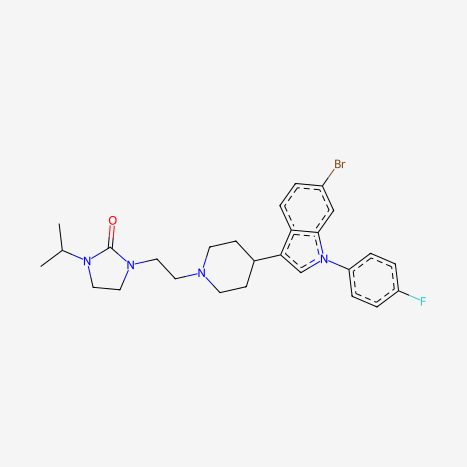 CC(C)N1CCN(CCN2CCC(c3cn(-c4ccc(F)cc4)c4cc(Br)ccc34)CC2)C1=O